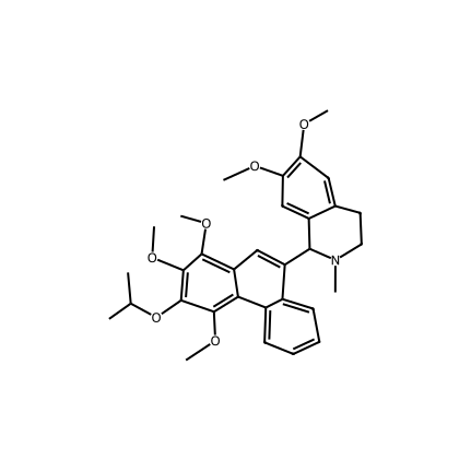 COc1cc2c(cc1OC)C(c1cc3c(OC)c(OC)c(OC(C)C)c(OC)c3c3ccccc13)N(C)CC2